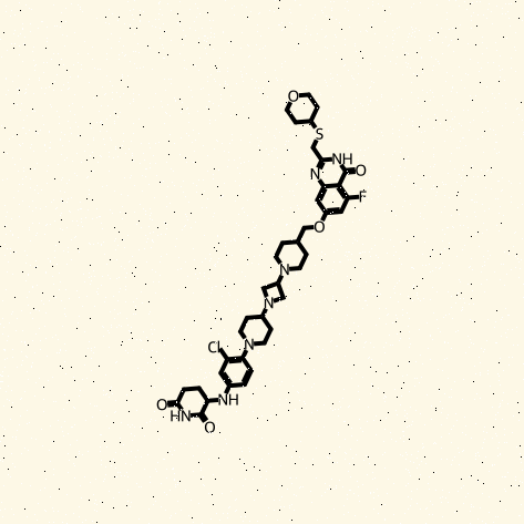 O=C1CCC(Nc2ccc(N3CCC(N4CC(N5CCC(COc6cc(F)c7c(=O)[nH]c(CSC8CCOCC8)nc7c6)CC5)C4)CC3)c(Cl)c2)C(=O)N1